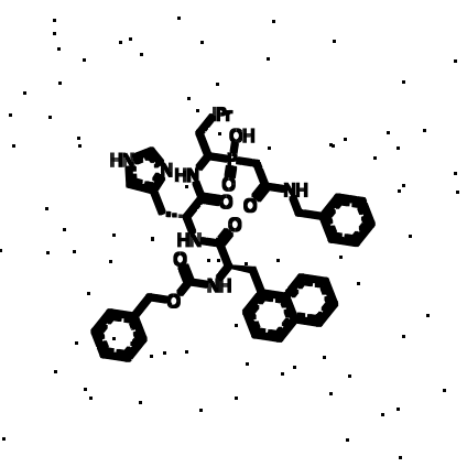 CC(C)CC(NC(=O)[C@@H](Cc1c[nH]cn1)NC(=O)[C@@H](Cc1cccc2ccccc12)NC(=O)OCc1ccccc1)P(=O)(O)CC(=O)NCc1ccccc1